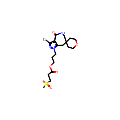 CCc1nn(CCCOC(=O)CCS(C)(=O)=O)c2c1C(=O)NCC1(CCOCC1)C2